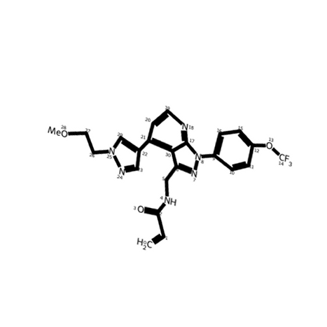 C=CC(=O)NCc1nn(-c2ccc(OC(F)(F)F)cc2)c2nccc(-c3cnn(CCOC)c3)c12